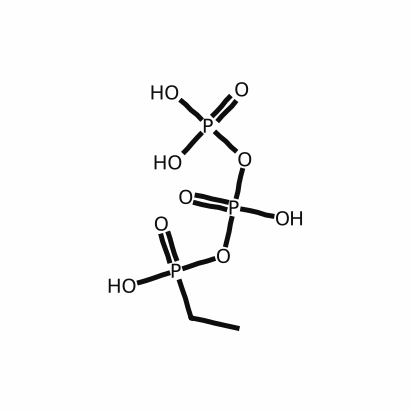 CCP(=O)(O)OP(=O)(O)OP(=O)(O)O